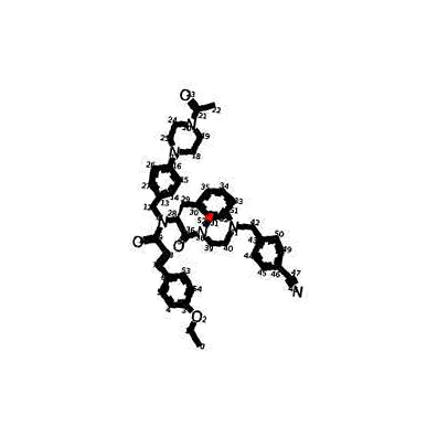 CCOc1ccc(C=CC(=O)N(Cc2ccc(N3CCN(C(C)=O)CC3)cc2)[C@@H](Cc2ccccc2)C(=O)N2CCN(Cc3ccc(C#N)cc3)CC2)cc1